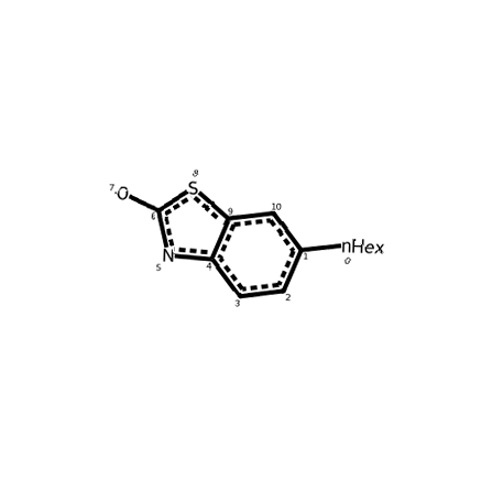 CCCCCCc1ccc2nc([O])sc2c1